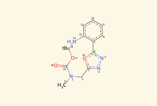 CN(Cc1nnc(-c2ccccc2N)o1)C(=O)OC(C)(C)C